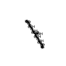 O=C(O)COC(COC(=O)NCCOCCNC(=O)OCCOC(=O)c1ccccc1)COC(=O)NCCOCCNC(=O)OCCOC(=O)c1ccccc1